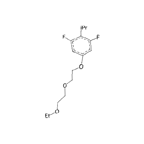 CCOCCOCCOc1cc(F)c(C(C)C)c(F)c1